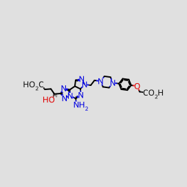 NC1=NC2C(C=NN2CCN2CCN(c3ccc(OCC(=O)O)cc3)CC2)c2nc([C@H](O)CCC(=O)O)nn21